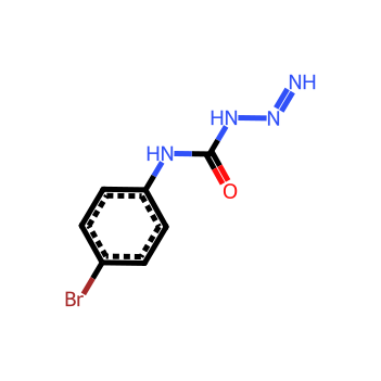 N=NNC(=O)Nc1ccc(Br)cc1